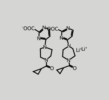 O=C([O-])c1nccc(N2CCN(C(=O)C3CC3)CC2)n1.O=C([O-])c1nccc(N2CCN(C(=O)C3CC3)CC2)n1.[Li+].[Li+]